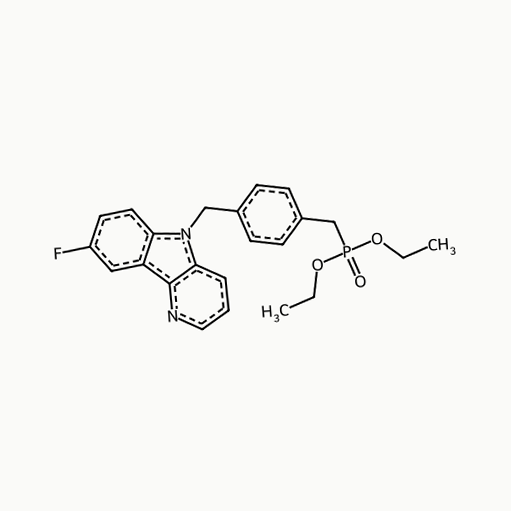 CCOP(=O)(Cc1ccc(Cn2c3ccc(F)cc3c3ncccc32)cc1)OCC